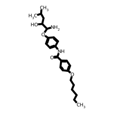 CCCCCCOc1ccc(C(=O)Nc2ccc(OC(N)C(O)CC(C)C)cc2)cc1